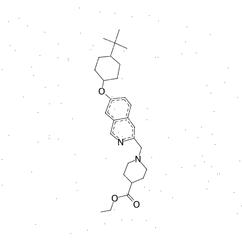 CCOC(=O)C1CCN(Cc2cc3ccc(OC4CCC(C(C)(C)C)CC4)cc3cn2)CC1